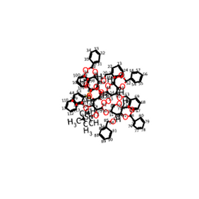 CC(C)(C)[Si](C)(C)O[C@@H]1[C@H](O[C@@H]2[C@H](O[C@@H]3[C@H](O[C@H]4[C@@H](OCc5ccccc5)[C@@H]5OC(c6ccccc6)OC[C@H]5O[C@@H]4Sc4ccccc4)O[C@@H]4COC(c5ccccc5)O[C@H]4[C@@H]3OCc3ccccc3)O[C@@H]3COC(c4ccccc4)O[C@H]3[C@@H]2OCc2ccccc2)O[C@@H]2COC(c3ccccc3)O[C@H]2[C@@H]1OCc1ccccc1